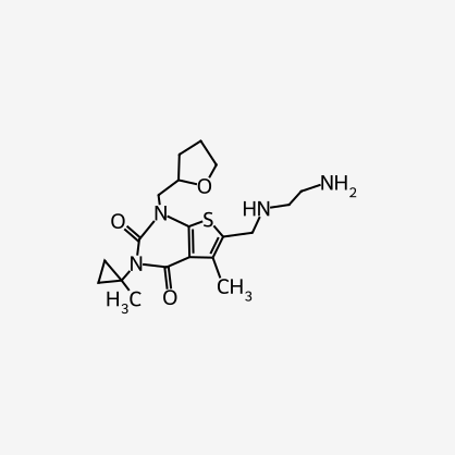 Cc1c(CNCCN)sc2c1c(=O)n(C1(C)CC1)c(=O)n2CC1CCCO1